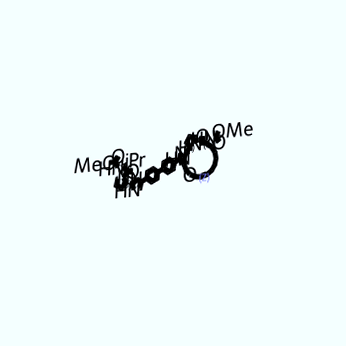 COC(=O)N[C@H]1CCCCC/C=C\COCc2[nH]c(nc2-c2ccc(-c3ccc(-c4c[nH]c([C@@H]5CCCN5C(=O)[C@@H](NC(=O)OC)C(C)C)n4)cc3)cc2)[C@@H]2CCCN2C1=O